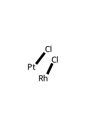 [Cl][Pt].[Cl][Rh]